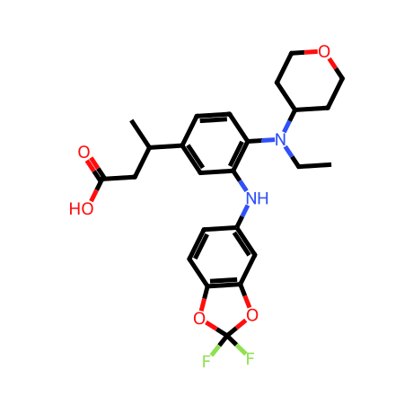 CCN(c1ccc(C(C)CC(=O)O)cc1Nc1ccc2c(c1)OC(F)(F)O2)C1CCOCC1